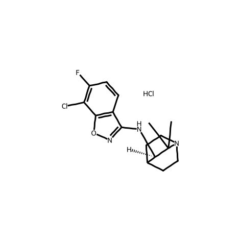 CC1(C)[C@H](Nc2noc3c(Cl)c(F)ccc23)C2CCN1CC2.Cl